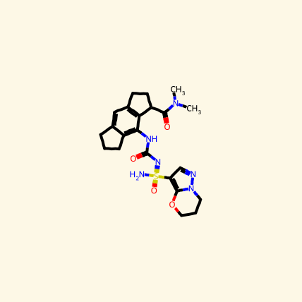 CN(C)C(=O)C1CCc2cc3c(c(NC(=O)N=S(N)(=O)c4cnn5c4OCCC5)c21)CCC3